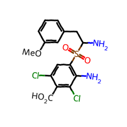 COc1cccc(CC(N)S(=O)(=O)c2cc(Cl)c(C(=O)O)c(Cl)c2N)c1